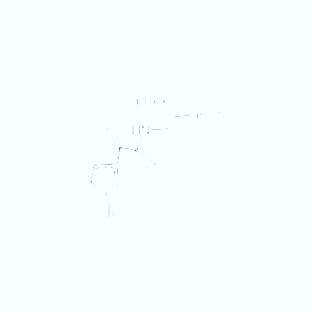 CCCCCCCCC(CCCCCC)CNC(=O)C(=O)c1ccc(Br)s1